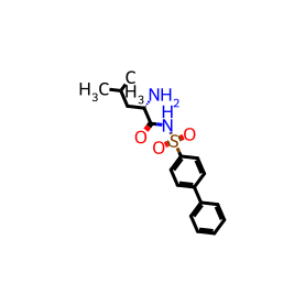 CC(C)C[C@H](N)C(=O)NS(=O)(=O)c1ccc(-c2ccccc2)cc1